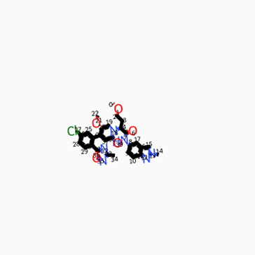 COCCC(C(=O)Nc1ccc2nn(C)cc2c1)n1cc(OC)c(-c2cc(Cl)ccc2-c2nc(C)no2)cc1=O